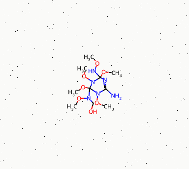 CONC1(OC)N=C(N)N(OC)C(OC)(N(CO)OC)N1OC